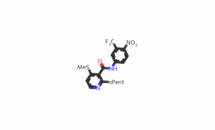 CCCCCc1nccc(SC)c1C(=O)Nc1ccc([N+](=O)[O-])c(C(F)(F)F)c1